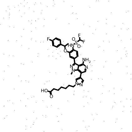 CC(Oc1cc(-c2nn(C)c3c(-c4cnn(CCCCCCC(=O)O)c4)cnc(N)c23)ccc1NS(=O)(=O)C(F)F)c1ccc(F)cc1